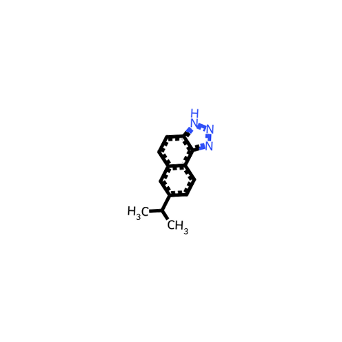 CC(C)c1ccc2c(ccc3[nH]nnc32)c1